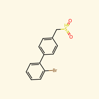 O=[SH](=O)Cc1ccc(-c2ccccc2Br)cc1